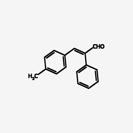 Cc1ccc(C=C(C=O)c2ccccc2)cc1